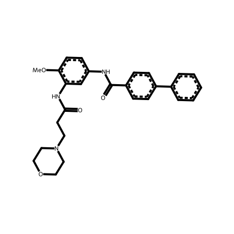 COc1ccc(NC(=O)c2ccc(-c3ccccc3)cc2)cc1NC(=O)CCN1CCOCC1